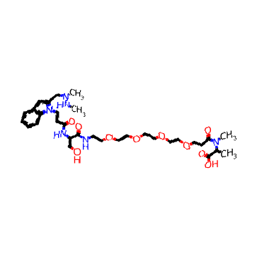 CNN(C)Cc1cc2ccccc2n1CCC(=O)NC(CO)C(=O)NCCOCCOCCOCCOCCC(=O)N(C)C(C)C(=O)O